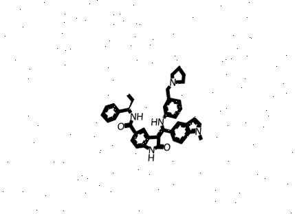 CC[C@@H](NC(=O)c1ccc2c(c1)C(=C(Nc1cccc(CN3CCCC3)c1)c1ccc3c(ccn3C)c1)C(=O)N2)c1ccccc1